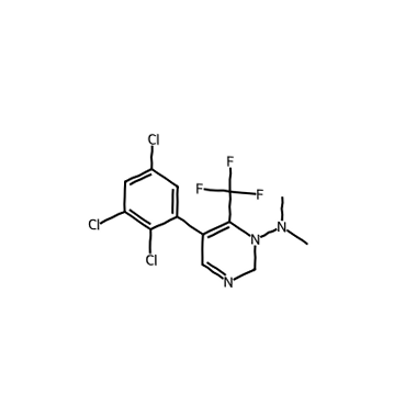 CN(C)N1CN=CC(c2cc(Cl)cc(Cl)c2Cl)=C1C(F)(F)F